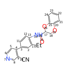 CCc1cc(-c2ccncc2C#N)ccc1NC(=O)C1COc2ccccc2O1